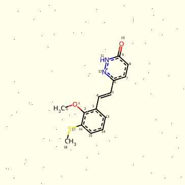 COc1c(C=Cc2ccc(=O)[nH]n2)cccc1SC